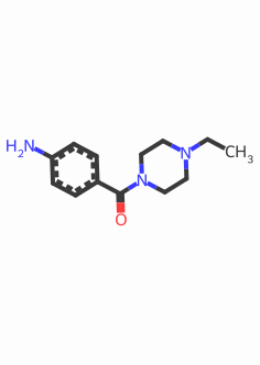 CCN1CCN(C(=O)c2ccc(N)cc2)CC1